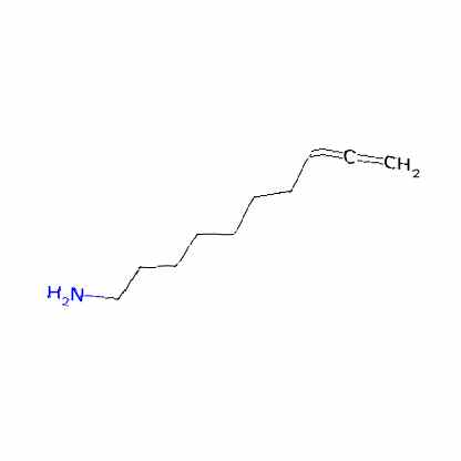 C=C=CCCCCCCCN